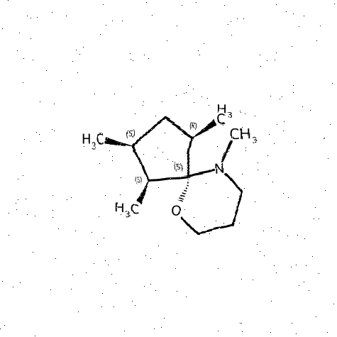 C[C@@H]1C[C@H](C)[C@H](C)[C@@]12OCCCN2C